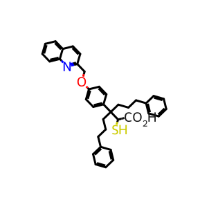 O=C(O)C(S)C(CCCc1ccccc1)(CCCc1ccccc1)c1ccc(OCc2ccc3ccccc3n2)cc1